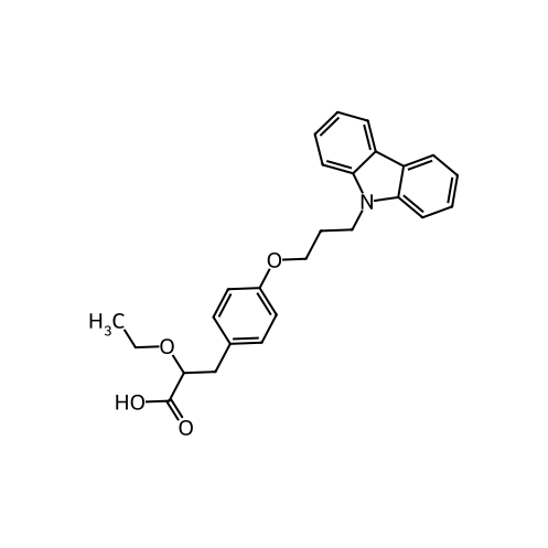 CCOC(Cc1ccc(OCCCn2c3ccccc3c3ccccc32)cc1)C(=O)O